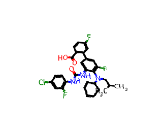 CC(C)CN(c1c(F)cc(-c2cc(F)ccc2C(=O)O)cc1NC(=O)Nc1ccc(Cl)cc1F)C1CCCCC1